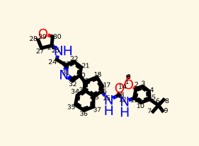 COc1ccc(C(C)(C)C)cc1NC(=O)Nc1ccc(-c2ccc(CNC3CCOC3)nc2)c2ccccc12